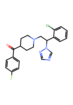 O=C(c1ccc(F)cc1)C1CCN(CC(c2ccccc2Cl)n2cncn2)CC1